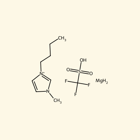 CCCC[n+]1ccn(C)c1.O=S(=O)(O)C(F)(F)F.[MgH2]